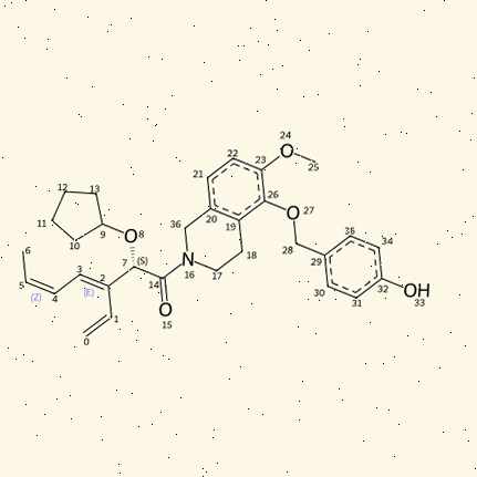 C=C/C(=C\C=C/C)[C@H](OC1CCCC1)C(=O)N1CCc2c(ccc(OC)c2OCc2ccc(O)cc2)C1